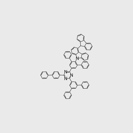 c1ccc(-c2ccc(-c3nc(-c4cc(-c5ccccc5)cc(-c5ccccc5)c4)nc(-c4cc(-c5ccccc5)c(-n5c6ccccc6c6c(C7c8ccccc8-c8ccccc87)cccc65)c(-c5ccccc5)c4)n3)cc2)cc1